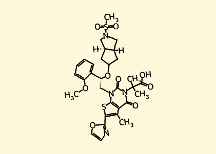 COc1ccccc1[C@@H](Cn1c(=O)n(C(C)(C)C(=O)O)c(=O)c2c(C)c(-c3ncco3)sc21)OC1C[C@H]2CN(S(C)(=O)=O)C[C@@H]2C1